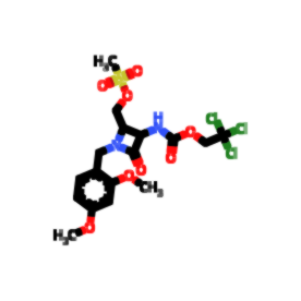 COc1ccc(CN2C(=O)C(NC(=O)OCC(Cl)(Cl)Cl)C2COS(C)(=O)=O)c(OC)c1